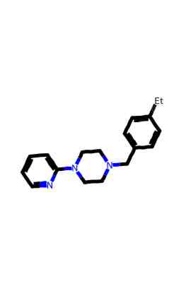 CCc1ccc(CN2CCN(c3ccccn3)CC2)cc1